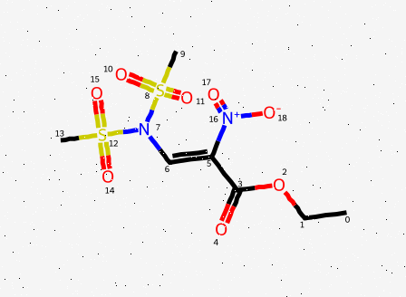 CCOC(=O)C(=CN(S(C)(=O)=O)S(C)(=O)=O)[N+](=O)[O-]